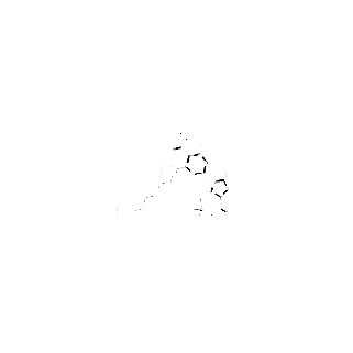 Cc1cc2c(n1-c1ccc(C(N)=O)c(NCCOCCO)c1)CC(C)(C)CC2=O